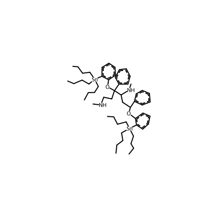 CCC[CH2][Sn]([CH2]CCC)([CH2]CCC)[c]1ccccc1OC(CC(NC)C(CCNC)(Oc1cccc[c]1[Sn]([CH2]CCC)([CH2]CCC)[CH2]CCC)c1ccccc1)c1ccccc1